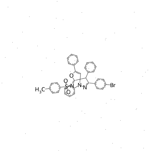 Cc1ccc(S(=O)(=O)/N=C2\OC(c3ccccc3)=CC23C(c2ccccc2)C(c2ccc(Br)cc2)=NN3c2ccccc2)cc1